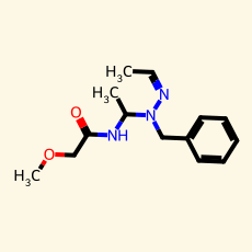 C/C=N\N(Cc1ccccc1)C(C)NC(=O)COC